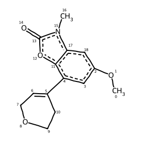 COc1cc(C2=CCOCC2)c2oc(=O)n(C)c2c1